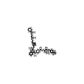 N[C@@H](CCC(=O)N1CCC(Nc2nc(NCc3cn(CCCNCCCNC4CCCCC4)nn3)nc3ccccc23)CC1)C(=O)NCc1ccc(C(F)(F)F)cc1